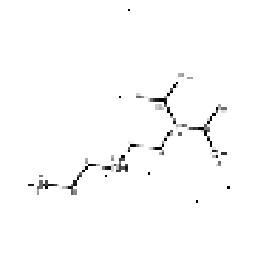 CC(O)N(CCNCCN)C(C)O